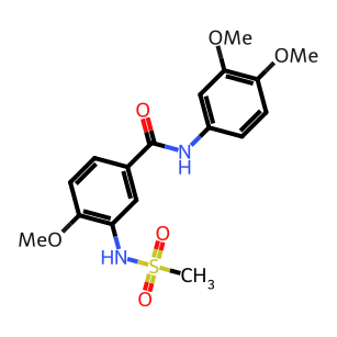 COc1ccc(C(=O)Nc2ccc(OC)c(OC)c2)cc1NS(C)(=O)=O